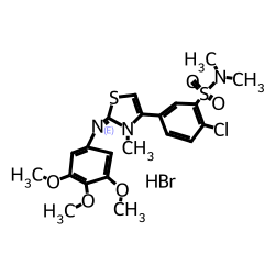 Br.COc1cc(/N=c2/scc(-c3ccc(Cl)c(S(=O)(=O)N(C)C)c3)n2C)cc(OC)c1OC